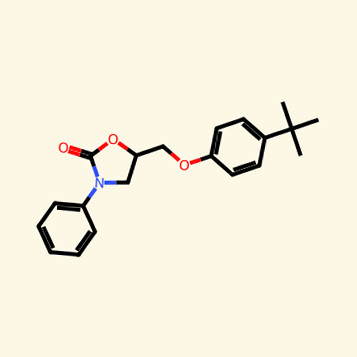 CC(C)(C)c1ccc(OCC2CN(c3ccccc3)C(=O)O2)cc1